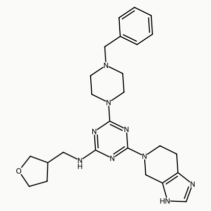 c1ccc(CN2CCN(c3nc(NCC4CCOC4)nc(N4CCc5nc[nH]c5C4)n3)CC2)cc1